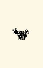 O=C([O-])c1cc(C(F)(F)F)cc(C2=C(c3cc(Cl)ccc3OCc3ccc(F)c(F)c3)CCC2)n1.[Na+]